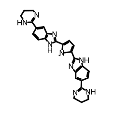 Cn1c(-c2nc3cc(C4=NCCCN4)ccc3[nH]2)ccc1-c1nc2cc(C3=NCCCN3)ccc2[nH]1